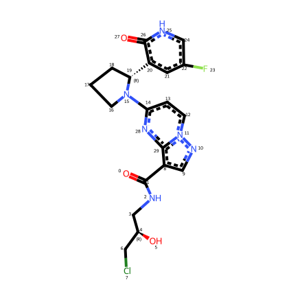 O=C(NC[C@@H](O)CCl)c1cnn2ccc(N3CCC[C@@H]3c3cc(F)c[nH]c3=O)nc12